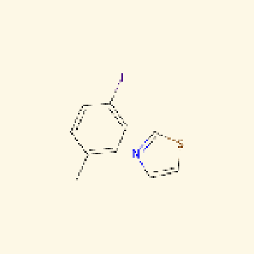 Cc1ccc(I)cc1.c1cscn1